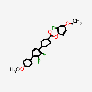 CCOc1ccc(OC(=O)C2CCC(c3ccc(C4CCC(OC)CC4)c(F)c3F)CC2)c(F)c1